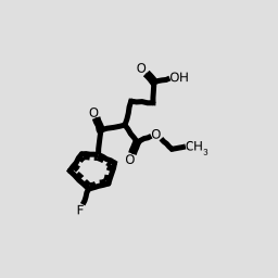 CCOC(=O)C(CCC(=O)O)C(=O)c1ccc(F)cc1